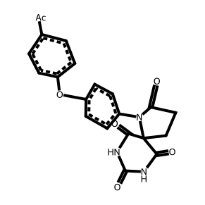 CC(=O)c1ccc(Oc2ccc(N3C(=O)CCC34C(=O)NC(=O)NC4=O)cc2)cc1